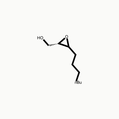 CCCCCCCC1O[C@H]1CO